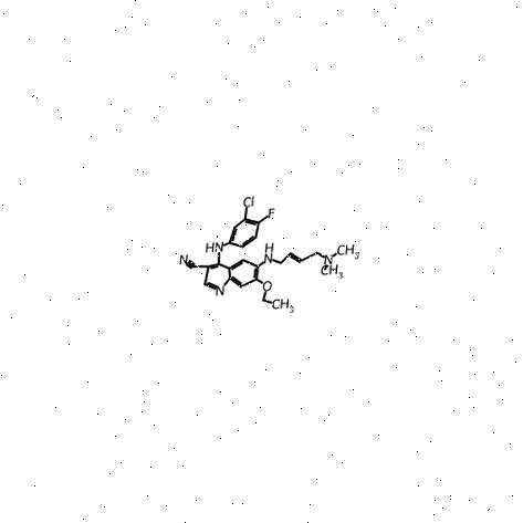 CCOc1cc2ncc(C#N)c(Nc3ccc(F)c(Cl)c3)c2cc1NC/C=C/CN(C)C